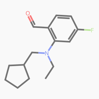 CCN(CC1CCCC1)c1cc(F)ccc1C=O